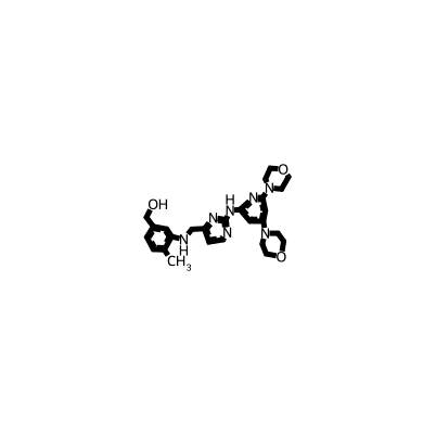 Cc1ccc(CO)cc1NCc1ccnc(Nc2cc(N3CCOCC3)cc(N3CCOCC3)n2)n1